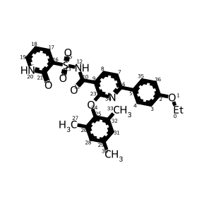 CCOc1ccc(-c2ccc(C(=O)NS(=O)(=O)c3ccc[nH]c3=O)c(Oc3c(C)cc(C)cc3C)n2)cc1